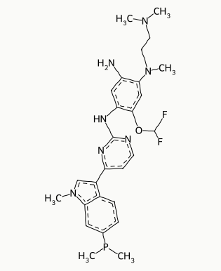 CN(C)CCN(C)c1cc(OC(F)F)c(Nc2nccc(-c3cn(C)c4cc(P(C)C)ccc34)n2)cc1N